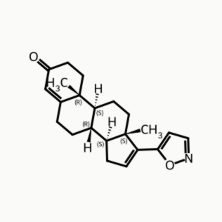 C[C@]12CCC(=O)C=C1CC[C@@H]1[C@@H]2CC[C@]2(C)C(c3ccno3)=CC[C@@H]12